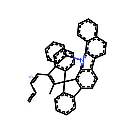 C=C/C=C\C1=C(C)C2(c3ccccc31)c1ccccc1-c1ccc3c4ccc5ccccc5c4n(-c4ccccc4)c3c12